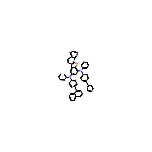 c1ccc(-c2ccc(N(c3ccccc3)c3cc(N(c4ccccc4)c4ccc(-c5cccc6ccccc56)cc4)cc4c3oc3c5ccccc5ccc43)cc2)cc1